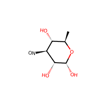 C[C@H]1O[C@H](O)[C@H](O)[C@@H](N=O)[C@@H]1O